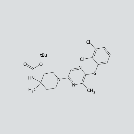 Cc1nc(N2CCC(C)(NC(=O)OC(C)(C)C)CC2)cnc1Sc1cccc(Cl)c1Cl